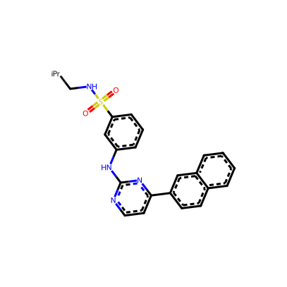 CC(C)CNS(=O)(=O)c1cccc(Nc2nccc(-c3ccc4ccccc4c3)n2)c1